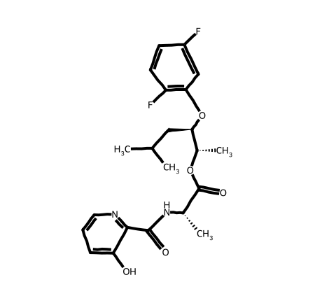 CC(C)C[C@@H](Oc1cc(F)ccc1F)[C@H](C)OC(=O)[C@H](C)NC(=O)c1ncccc1O